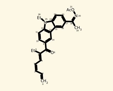 C=C/C=C\C=C(/CC)C(=O)c1ccc2c(c1)c1cc(/C(C)=N\OC(C)=O)ccc1n2CC